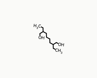 CCC(CO)CCCCC(CC)CO